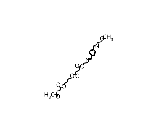 COCC/N=C/c1ccc(/C=N/CCOC(=O)CCC(=O)OCCCCOC(=O)CCC(C)=O)cc1